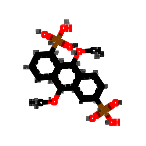 COc1c2cc(S(=O)(=O)O)ccc2c(OC)c2c(S(=O)(=O)O)cccc12